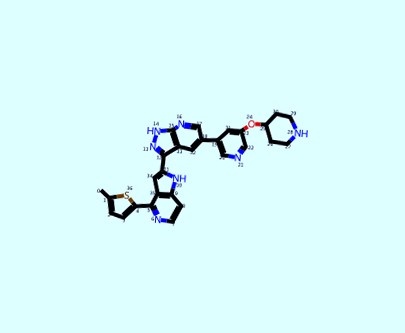 Cc1ccc(-c2nccc3[nH]c(-c4n[nH]c5ncc(-c6cncc(OC7CCNCC7)c6)cc45)cc23)s1